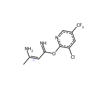 C/C(N)=C/C(=N)Oc1ncc(C(F)(F)F)cc1Cl